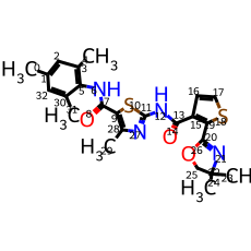 Cc1cc(C)c(NC(=O)c2sc(NC(=O)c3ccsc3C3=NC(C)(C)CO3)nc2C)c(C)c1